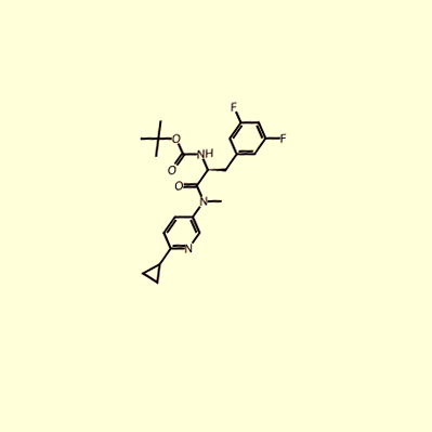 CN(C(=O)[C@H](Cc1cc(F)cc(F)c1)NC(=O)OC(C)(C)C)c1ccc(C2CC2)nc1